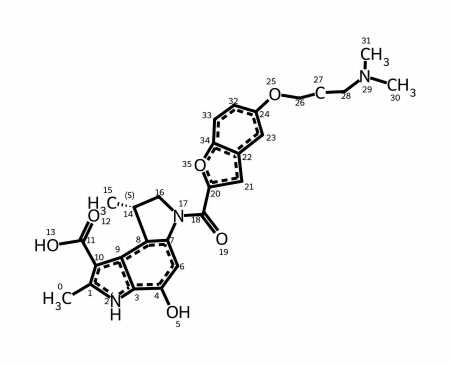 Cc1[nH]c2c(O)cc3c(c2c1C(=O)O)[C@H](C)CN3C(=O)c1cc2cc(OCCCN(C)C)ccc2o1